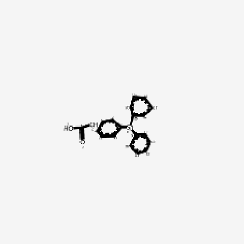 CC(=O)O.c1cc[c]([Sn]([c]2ccccc2)[c]2ccccc2)cc1